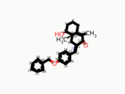 CC1=C2CCC[C@H](O)[C@@]2(C)C/C(=C\c2ccc(OCc3ccccc3)cc2)C1=O